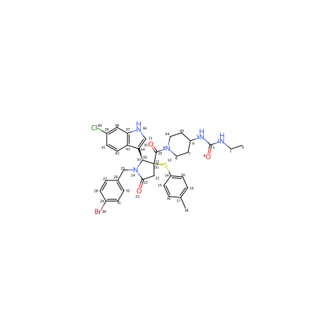 CCNC(=O)NC1CCN(C(=O)[C@]2(Sc3ccc(C)cc3)CC(=O)N(Cc3ccc(Br)cc3)[C@H]2c2c[nH]c3cc(Cl)ccc23)CC1